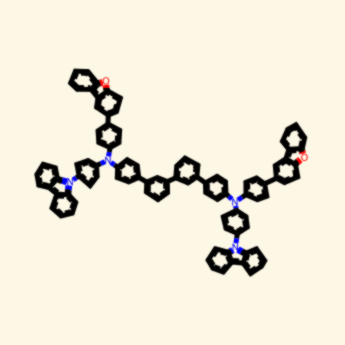 c1cc(-c2ccc(N(c3ccc(-c4ccc5oc6ccccc6c5c4)cc3)c3ccc(-n4c5ccccc5c5ccccc54)cc3)cc2)cc(-c2cccc(-c3ccc(N(c4ccc(-c5ccc6oc7ccccc7c6c5)cc4)c4ccc(-n5c6ccccc6c6ccccc65)cc4)cc3)c2)c1